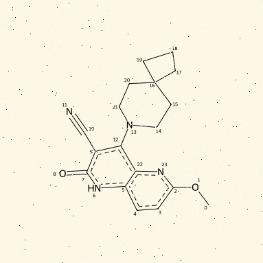 COc1ccc2[nH]c(=O)c(C#N)c(N3CCC4(CCC4)CC3)c2n1